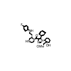 COC[C@]1(O)CCCC[C@H]1n1cnc(C(=O)N2CCNC[C@H]2CCNc2ccc(F)cc2)c1-c1ccccc1